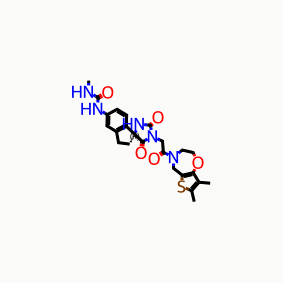 CNC(=O)Nc1ccc2c(c1)CC[C@@]21NC(=O)N(CC(=O)N2CCOc3c(sc(C)c3C)C2)C1=O